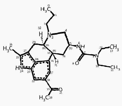 CCCN1C[C@@H](NC(=O)N(CC)CC)C[C@@H]2c3cc(C(C)=O)cc4[nH]c(C)c(c34)C[C@H]21